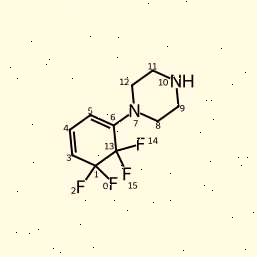 FC1(F)C=CC=C(N2CCNCC2)C1(F)F